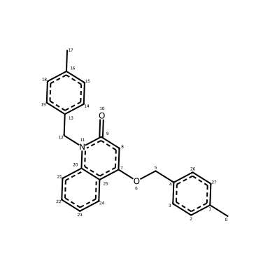 Cc1ccc(COc2cc(=O)n(Cc3ccc(C)cc3)c3ccccc23)cc1